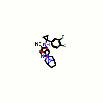 N#Cc1ccc(N2C3CCC2CN(C(=O)CNC2(c4ccc(F)c(F)c4)CC2)C3)nc1